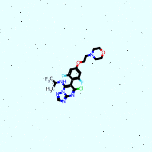 CC(Nc1c(-c2c(F)cc(OCCN3CCOCC3)cc2F)c(Cl)nc2ncnn12)C(F)(F)F